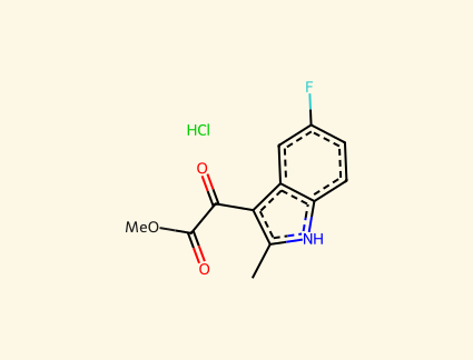 COC(=O)C(=O)c1c(C)[nH]c2ccc(F)cc12.Cl